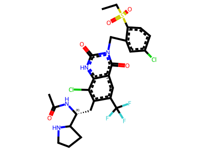 CCS(=O)(=O)c1ccc(Cl)cc1Cn1c(=O)[nH]c2c(Cl)c(C[C@@H](NC(C)=O)C3CCCN3)c(C(F)(F)F)cc2c1=O